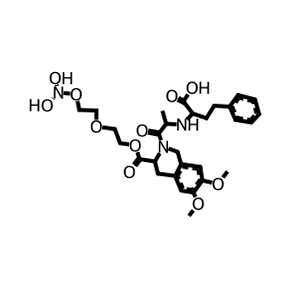 COc1cc2c(cc1OC)CN(C(=O)C(C)NC(CCc1ccccc1)C(=O)O)C(C(=O)OCCOCCON(O)O)C2